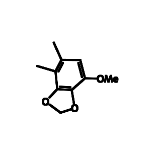 COc1cc(C)c(C)c2c1OCO2